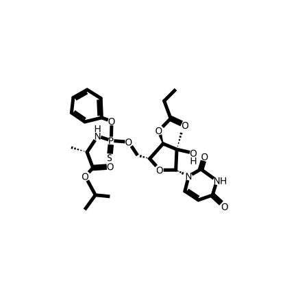 CCC(=O)O[C@@H]1[C@@H](COP(=S)(N[C@@H](C)C(=O)OC(C)C)Oc2ccccc2)O[C@@H](n2ccc(=O)[nH]c2=O)[C@]1(C)O